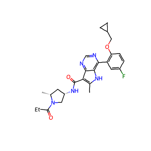 CCC(=O)N1C[C@@H](NC(=O)c2c(C)[nH]c3c(-c4cc(F)ccc4OCC4CC4)ncnc23)C[C@H]1C